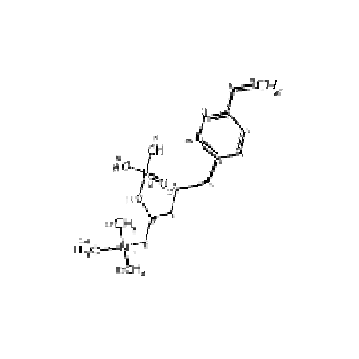 C=Cc1ccc(CCCC(C[N+](C)(C)C)OP(=O)(O)O)cc1